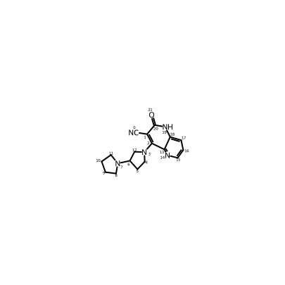 N#Cc1c(N2CCC(N3CCCC3)C2)c2ncccc2[nH]c1=O